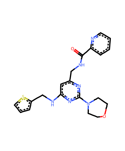 O=C(NCc1cc(NCc2cccs2)nc(N2CCOCC2)n1)c1ccccn1